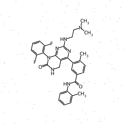 Cc1ccccc1NC(=O)c1ccc(C)c(-c2nc(NCCN(C)C)nc3c2CNC(=O)N3c2c(F)cccc2F)c1